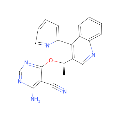 C[C@@H](Oc1ncnc(N)c1C#N)c1cnc2ccccc2c1-c1ccccn1